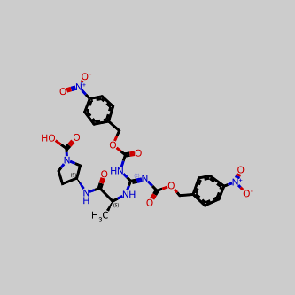 C[C@H](N/C(=N\C(=O)OCc1ccc([N+](=O)[O-])cc1)NC(=O)OCc1ccc([N+](=O)[O-])cc1)C(=O)N[C@H]1CCN(C(=O)O)C1